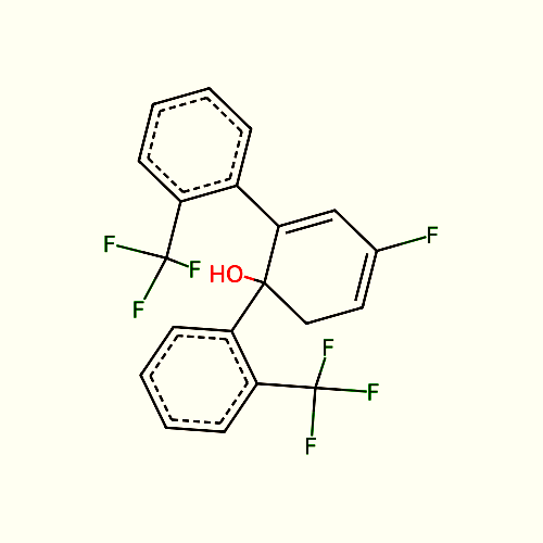 OC1(c2ccccc2C(F)(F)F)CC=C(F)C=C1c1ccccc1C(F)(F)F